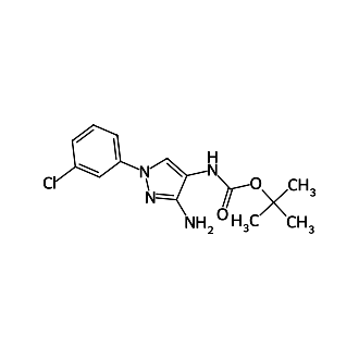 CC(C)(C)OC(=O)Nc1cn(-c2cccc(Cl)c2)nc1N